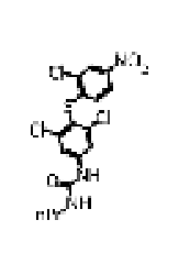 CCCNC(=O)Nc1cc(Cl)c(Sc2ccc([N+](=O)[O-])cc2Cl)c(Cl)c1